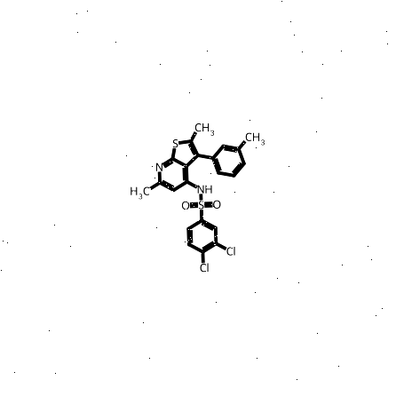 Cc1cccc(-c2c(C)sc3nc(C)cc(NS(=O)(=O)c4ccc(Cl)c(Cl)c4)c23)c1